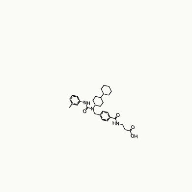 Cc1cccc(NC(=O)N(Cc2ccc(C(=O)NCCC(=O)O)cc2)C2CCC(C3CCCCC3)CC2)c1